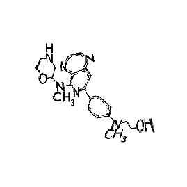 CN(CCO)c1ccc(-c2cc3nccnc3c(N(C)C3CNCCO3)n2)cc1